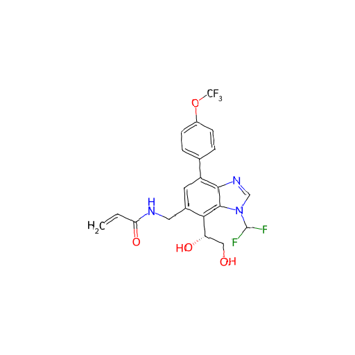 C=CC(=O)NCc1cc(-c2ccc(OC(F)(F)F)cc2)c2ncn(C(F)F)c2c1[C@@H](O)CO